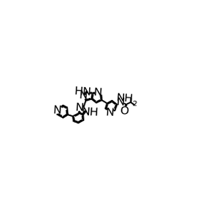 CC(C)C(=O)N(N)c1cncc(-c2cnc3[nH]nc(-c4nc5c(-c6ccncc6)cccc5[nH]4)c3c2)c1